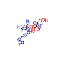 CC(C)c1ccccc1[C@H]1CCCN1C1CC2(CCN(c3ccc(C(=O)NS(=O)(=O)c4cc5c(c([N+](=O)[O-])c4)N[C@@H]([C@H]4CC[C@](C)(O)CC4)CO5)c(Oc4cc5c(F)c[nH]c5nc4OC4CCN(C)CC4)c3)CC2)C1